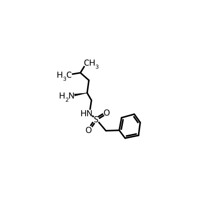 CC(C)C[C@H](N)CNS(=O)(=O)Cc1ccccc1